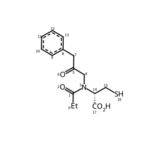 CCC(=O)N(CC(=O)Cc1ccccc1)[C@H](CS)C(=O)O